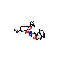 CC1CCC(C(C)C)C(O)(C(=O)NC[C@@H]2OCCc3ccccc32)C1